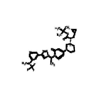 CC(n1cc(-c2cncc(N(C)C(F)(F)F)c2)nn1)n1ccc(N2CCC[C@@H](N(CC3CC3)C(=O)OC(C)(C)C)C2)cc1=O